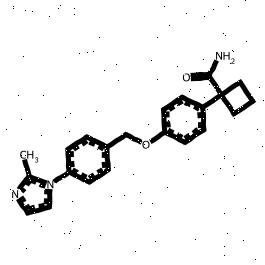 Cc1nccn1-c1ccc(COc2ccc(C3(C(N)=O)CCC3)cc2)cc1